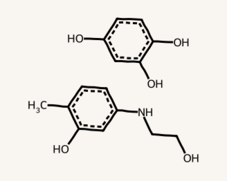 Cc1ccc(NCCO)cc1O.Oc1ccc(O)c(O)c1